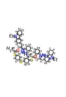 CCn1c2ccccc2c2cc(C=C(COC(C)Sc3ccc(Sc4ccc(SC(C)OCC(=Cc5ccc6c(c5)c5ccccc5n6CC)N(N)c5ccccc5)cc4)cc3)N(N)c3ccccc3)ccc21